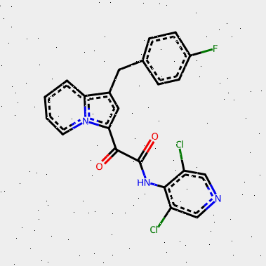 O=C(Nc1c(Cl)cncc1Cl)C(=O)c1cc(Cc2ccc(F)cc2)c2ccccn12